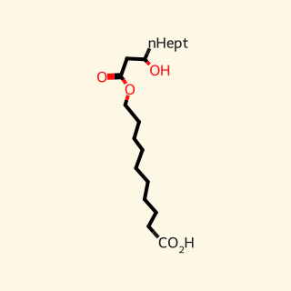 CCCCCCCC(O)CC(=O)OCCCCCCCCCC(=O)O